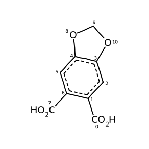 O=C(O)c1cc2c(cc1C(=O)O)OCO2